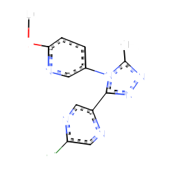 CCOc1ccc(-n2c(C)nnc2-c2cnc(Cl)cn2)cn1